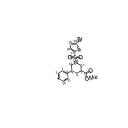 COC(=O)C1CC(c2ccccc2)CN(S(=O)(=O)c2ccc(Br)s2)C1